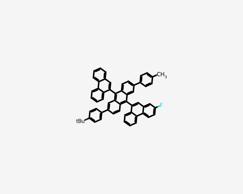 Cc1ccc(-c2ccc3c(-c4cc5ccccc5c5ccccc45)c4cc(-c5ccc(C(C)(C)C)cc5)ccc4c(-c4cc5cc(F)ccc5c5ccccc45)c3c2)cc1